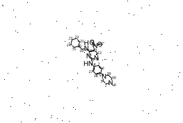 CN1CCN(c2ccc(Nc3ncc([N+](=O)[O-])c(NCC4CCCCC4)n3)cc2)CC1